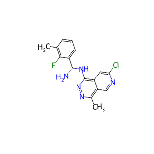 Cc1cccc([C@@H](N)Nc2nnc(C)c3cnc(Cl)cc23)c1F